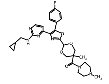 CN1CCN(C(=O)C2(C)COC(c3nc(-c4ccnc(NCC5CC5)n4)c(-c4ccc(F)cc4)o3)OC2)CC1